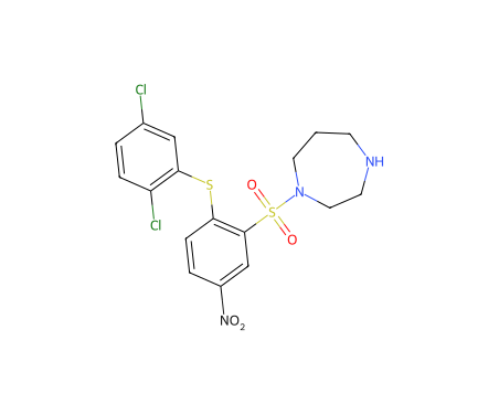 O=[N+]([O-])c1ccc(Sc2cc(Cl)ccc2Cl)c(S(=O)(=O)N2CCCNCC2)c1